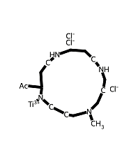 CC(=O)C1CCNCCCNCCCN(C)CCC[N]1[Ti+3].[Cl-].[Cl-].[Cl-]